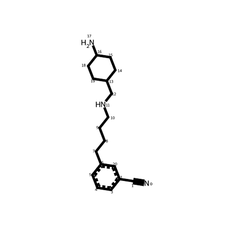 N#Cc1cccc(CCCCNCC2CCC(N)CC2)c1